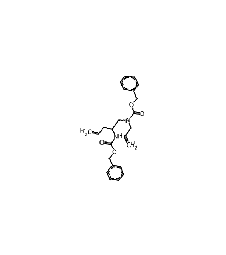 C=CCC(CN(CC=C)C(=O)OCc1ccccc1)NC(=O)OCc1ccccc1